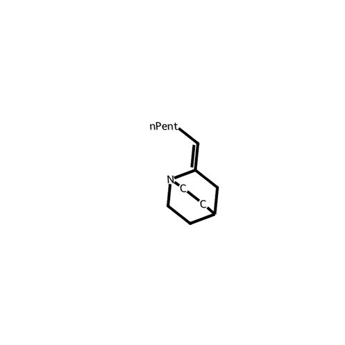 CCCCC/C=C1/CC2CCN1CC2